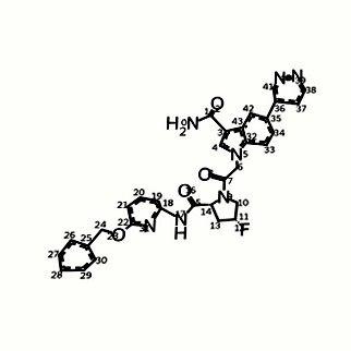 NC(=O)c1cn(CC(=O)N2C[C@H](F)C[C@H]2C(=O)Nc2cccc(OCc3ccccc3)n2)c2ccc(-c3ccnnc3)cc12